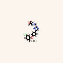 Cn1c(-c2ccc(Oc3cc(Cl)ccc3C=O)cc2)cnc1CN1CC2(COC2)C1